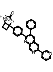 CC(C)(C)C1CCC1(OC(N)=O)c1ccc(-c2nc3cnc(-c4cccnc4)cc3cc2-c2ccccc2)cc1